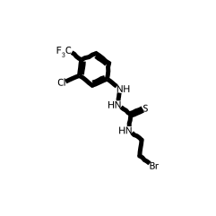 FC(F)(F)c1ccc(NNC(=S)NCCBr)cc1Cl